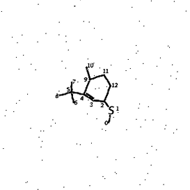 CSC1C=C(C(C)(C)C)C(C)CC1